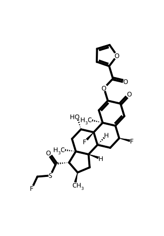 C[C@@H]1C[C@H]2[C@@H]3C[C@H](F)C4=CC(=O)C(OC(=O)c5ccco5)=C[C@]4(C)[C@@]3(F)[C@@H](O)C[C@]2(C)[C@H]1C(=O)SCF